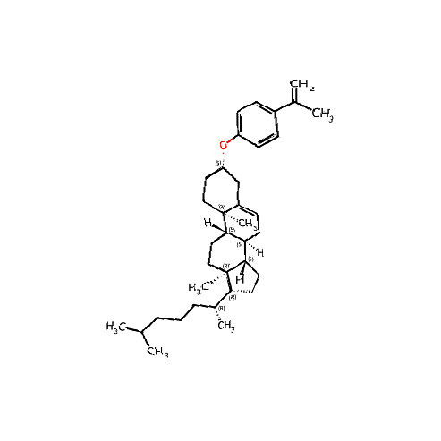 C=C(C)c1ccc(O[C@H]2CC[C@@]3(C)C(=CC[C@H]4[C@@H]5CC[C@H]([C@H](C)CCCC(C)C)[C@@]5(C)CC[C@@H]43)C2)cc1